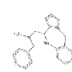 CN(Cc1ccccc1)CC1Nc2ccccc2Cn2cccc21